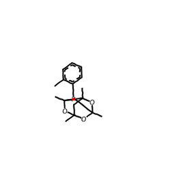 Cc1ccccc1P1C2(C)CC3(C)OC(C)(CC1(C)O3)O2